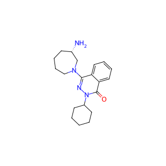 N[C@H]1CCCCN(c2nn(C3CCCCC3)c(=O)c3ccccc23)C1